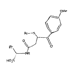 COc1ccc(C(=O)C(CC(=O)N[C@H](C(=O)O)C(C)C)SC(C)=O)cc1